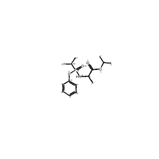 CC(C)OC(=O)C(C)NP(=O)(Oc1ccccc1)C(C)F